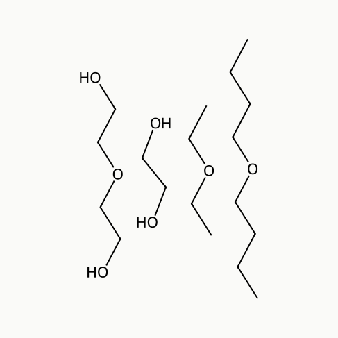 CCCCOCCCC.CCOCC.OCCO.OCCOCCO